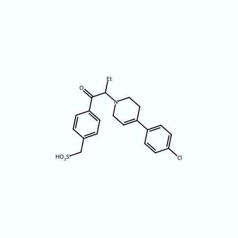 CCC(C(=O)c1ccc(CS(=O)(=O)O)cc1)N1CC=C(c2ccc(Cl)cc2)CC1